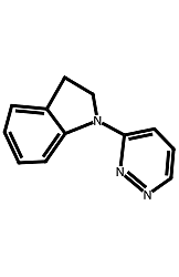 c1cnnc(N2CCc3ccccc32)c1